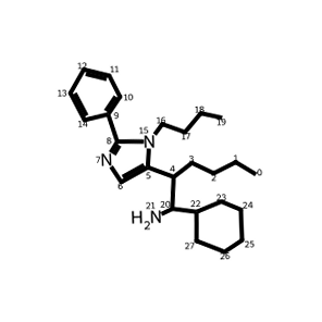 CCCCC(c1cnc(-c2ccccc2)n1CCCC)C(N)C1CCCCC1